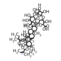 C/C=C(/C)C(=O)O[C@H]1[C@H](O)[C@@]2(COC(=O)C(C)CC)C(CC1(C)C)C1=CCC3[C@@]4(C)CC[C@H](O[C@@H]5OC(C(=O)O)[C@@H](O)[C@@H](O[C@@H]6O[C@@H](CO)[C@@H](O)C6O)C5O[C@@H]5OC(CO)[C@H](O)[C@@H](O)C5O)C(C)(C)C4CC[C@@]3(C)[C@]1(C)[C@@H](O)[C@H]2O